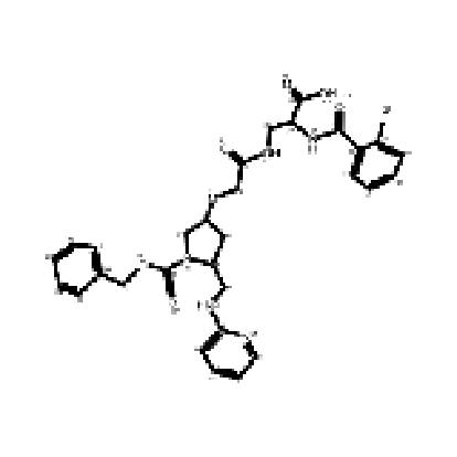 O=C(COC1CC(CNc2ccccn2)N(C(=O)OCc2ccccc2)C1)NCC(NC(=O)c1ccccc1F)C(=O)O